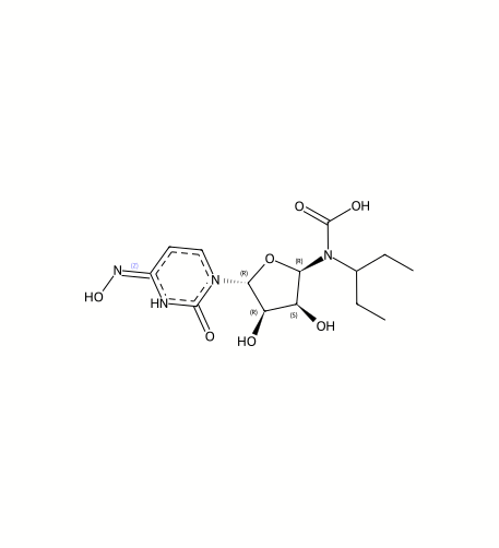 CCC(CC)N(C(=O)O)[C@@H]1O[C@@H](n2cc/c(=N/O)[nH]c2=O)[C@H](O)[C@@H]1O